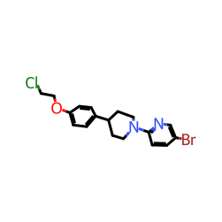 ClCCOc1ccc(C2CCN(c3ccc(Br)cn3)CC2)cc1